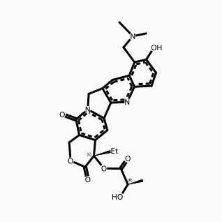 CC[C@@]1(OC(=O)[C@@H](C)O)C(=O)OCc2c1cc1n(c2=O)Cc2cc3c(CN(C)C)c(O)ccc3nc2-1